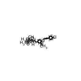 COc1cc(CCNC(=O)[C@H](NS(C)(=O)=O)C(C)C)ccc1OCC#Cc1ccc(Cl)cc1